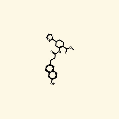 COC(=O)C1=C(NC(=O)CCc2ccc3cc(O)ccc3c2)CC(c2nccs2)CC1